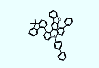 CC1(C)c2ccccc2-c2c(-c3cccc(N(c4ccc(-c5ccccc5)cc4)c4ccc(-c5ccccc5)cc4)c3-c3ccc4oc5ccccc5c4c3)cccc21